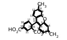 C=c1ccc2c(c1)Oc1cc(C)ccc1C=2c1ccc(C(=O)O)cc1C(=O)O